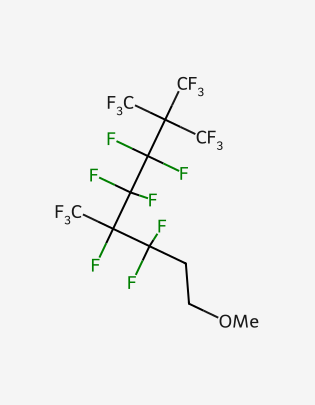 COCCC(F)(F)C(F)(C(F)(F)F)C(F)(F)C(F)(F)C(C(F)(F)F)(C(F)(F)F)C(F)(F)F